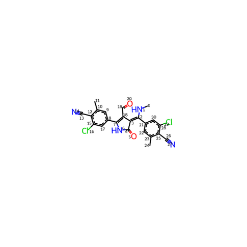 CN/C(=C1/C(=O)NC(c2cc(C)c(C#N)c(Cl)c2)=C1C=O)c1cc(C)c(C#N)c(Cl)c1